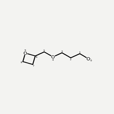 [O]CCCOCC1CCO1